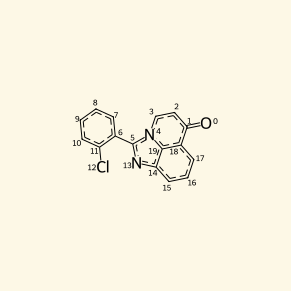 O=c1ccn2c(-c3ccccc3Cl)nc3cccc1c32